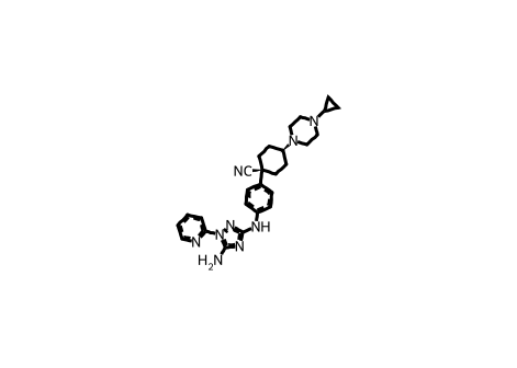 N#C[C@]1(c2ccc(Nc3nc(N)n(-c4ccccn4)n3)cc2)CC[C@H](N2CCN(C3CC3)CC2)CC1